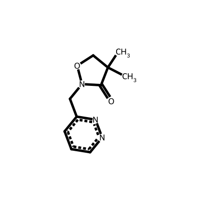 CC1(C)CON(Cc2cccnn2)C1=O